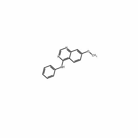 COc1ccc2c(Nc3ccccc3)ncnc2c1